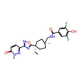 CC[C@]1(c2nc(-c3ccc(=O)n(C)n3)no2)CC[C@@](C)(CNC(=O)c2cc(F)c(O)c(F)c2)CC1